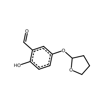 O=Cc1cc(OC2CCCO2)ccc1O